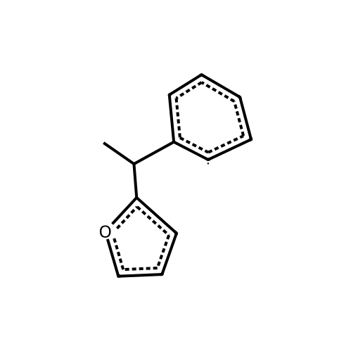 CC(c1[c]cccc1)c1ccco1